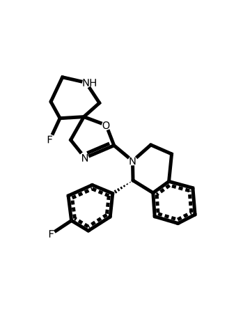 Fc1ccc([C@H]2c3ccccc3CCN2C2=NCC3(CNCCC3F)O2)cc1